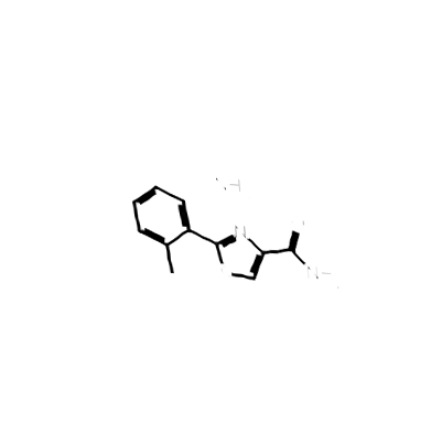 Cc1ccccc1-c1nc(C(N)=O)cs1.N